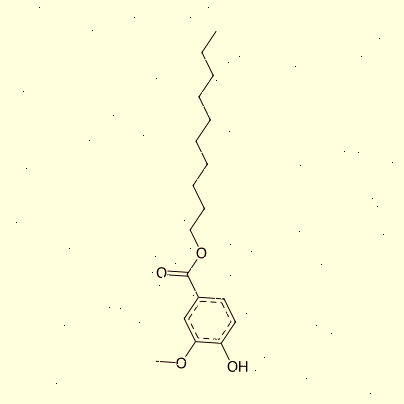 CCCCCCCCCCOC(=O)c1ccc(O)c(OC)c1